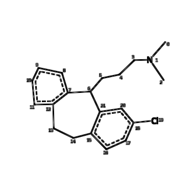 CN(C)CCCC1c2ccccc2CCc2ccc(Cl)cc21